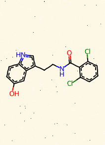 O=C(NCCc1c[nH]c2ccc(O)cc12)c1c(Cl)cccc1Cl